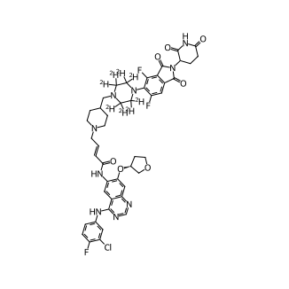 [2H]C1([2H])N(CC2CCN(C/C=C/C(=O)Nc3cc4c(Nc5ccc(F)c(Cl)c5)ncnc4cc3O[C@H]3CCOC3)CC2)C([2H])([2H])C([2H])([2H])N(c2c(F)cc3c(c2F)C(=O)N(C2CCC(=O)NC2=O)C3=O)C1([2H])[2H]